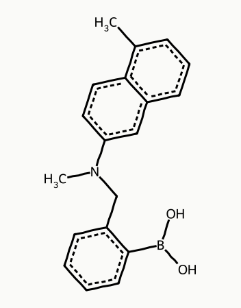 Cc1cccc2cc(N(C)Cc3ccccc3B(O)O)ccc12